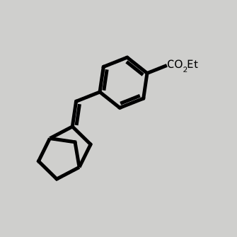 CCOC(=O)c1ccc(C=C2CC3CCC2C3)cc1